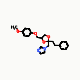 COc1ccc(OCC2COC(CCc3ccccc3)(Cn3ccnc3)O2)cc1